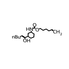 C=CCCCCOC(=O)NC1CCCC(C(O)=CCCCC)C1